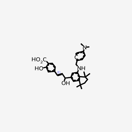 CN(C)c1ccc(CNc2cc(C(O)/C=C/c3ccc(C(=O)O)c(O)c3)cc3c2C(C)(C)CCC3(C)C)cc1